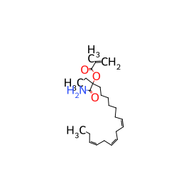 C=C(C)C(=O)OC(CC)(CCCCCC/C=C\C/C=C\C/C=C\CC)C(N)=O